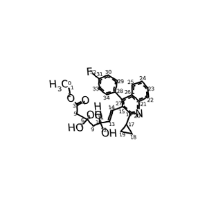 CCOC(=O)CC(O)(O)CC(O)(O)C=Cc1c(C2CC2)nc2ccccc2c1-c1ccc(F)cc1